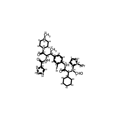 CC(C)n1nccc1N(C=O)[C@H](C(=O)Nc1ccc([C@H](C)[C@@H](NC(=O)c2cnns2)C(=O)N2CCN(C)CC2)cc1F)C1CCCCC1